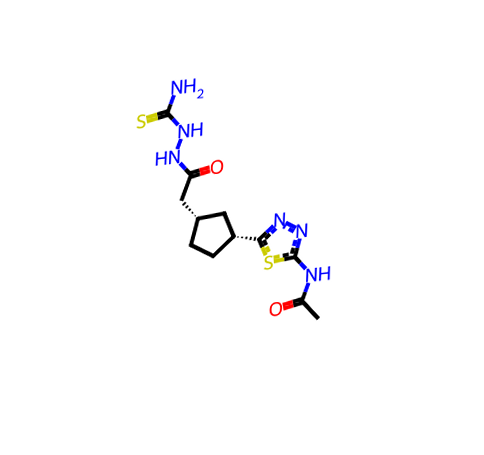 CC(=O)Nc1nnc([C@@H]2CC[C@H](CC(=O)NNC(N)=S)C2)s1